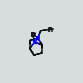 CCN1C2CCC1N(CC(C)C)C2